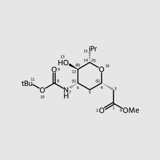 COC(=O)C[C@@H]1C[C@H](NC(=O)OC(C)(C)C)[C@@H](O)[C@H](C(C)C)O1